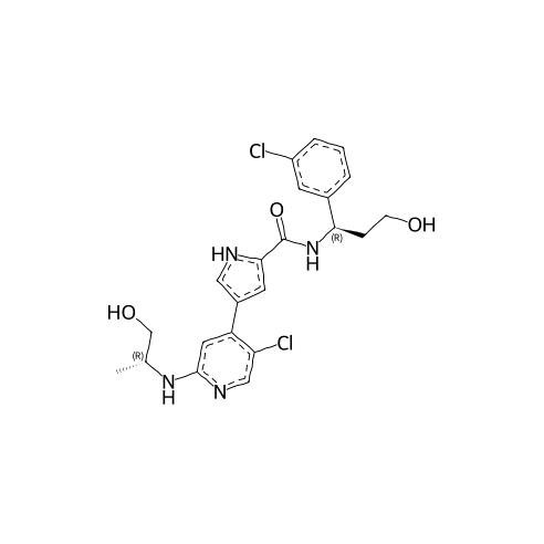 C[C@H](CO)Nc1cc(-c2c[nH]c(C(=O)N[C@H](CCO)c3cccc(Cl)c3)c2)c(Cl)cn1